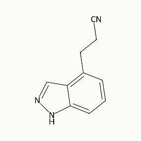 N#CCCc1cccc2[nH]ncc12